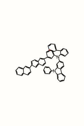 c1ccc(-c2ccccc2N(c2cccc(-c3ccc4cc(-c5ccc6ccccc6c5)ccc4c3)c2)c2ccc3c4ccccc4n(-c4ccccc4)c3c2)cc1